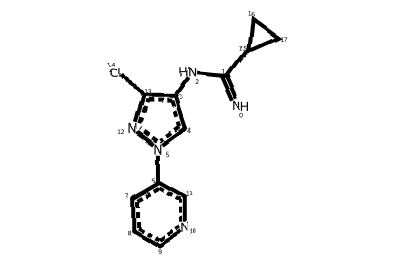 N=C(Nc1cn(-c2cccnc2)nc1Cl)C1CC1